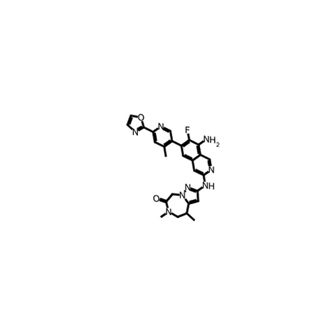 Cc1cc(-c2ncco2)ncc1-c1cc2cc(Nc3cc4n(n3)CC(=O)N(C)CC4C)ncc2c(N)c1F